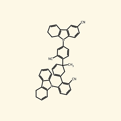 CC1(c2ccc(-n3c4c(c5cc(C#N)ccc53)C=CCC4)cc2C#N)C=CC=C(c2c(C#N)cccc2-n2c3c(c4ccccc42)CCC=C3)C1